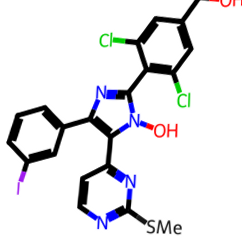 CSc1nccc(-c2c(-c3cccc(I)c3)nc(-c3c(Cl)cc(CO)cc3Cl)n2O)n1